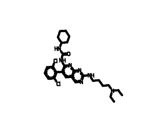 CCN(CC)CCCCNc1ncc2cc(-c3c(Cl)cccc3Cl)c(NC(=O)NC3CCCCC3)nc2n1